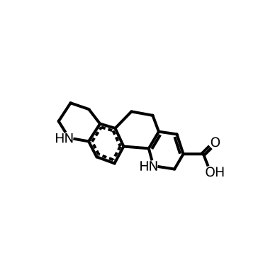 O=C(O)C1=CC2=C(NC1)c1ccc3c(c1CC2)CCCN3